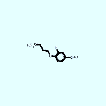 O=Cc1ccc(OCCCS(=O)(=O)O)c(F)c1